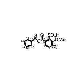 COc1c(Cl)ccc(C(=O)OC(=O)c2ccccc2)c1S(=O)(=O)O